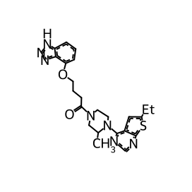 CCc1cc2c(N3CCN(C(=O)CCCOc4cccc5[nH]nnc45)CC3C)ncnc2s1